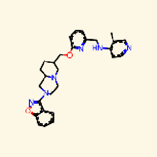 Cc1cnccc1NCc1cccc(OCC2CCC3CN(c4noc5ccccc45)CCN3C2)n1